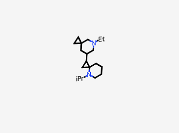 CCN1CC(C2CC23CCCCN3C(C)C)CC2(CC2)C1